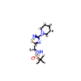 C[C@H](N[S@@+]([O-])C(C)(C)C)c1nc(N2CCCCC2)ns1